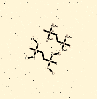 CCO[Si](C)(CC[Si](C)(OCC)OCC)OCC.CO[Si](C)(CC[Si](C)(OC)OC)OC